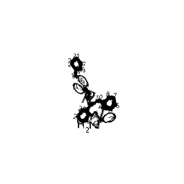 NC(=O)N1c2ccccc2CC(=NOC(=O)OCc2ccccc2)c2ccccc21